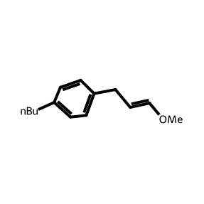 CCCCc1ccc(CC=COC)cc1